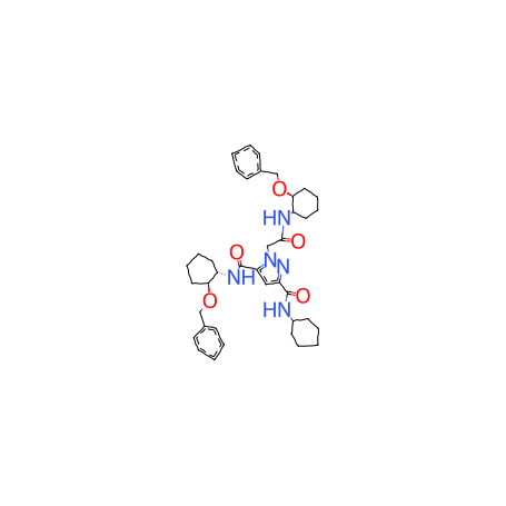 O=C(Cn1nc(C(=O)NC2CCCCC2)cc1C(=O)N[C@H]1CCCC[C@@H]1OCc1ccccc1)N[C@H]1CCCC[C@@H]1OCc1ccccc1